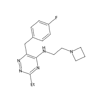 CCc1nnc(Cc2ccc(F)cc2)c(NCCN2CCC2)n1